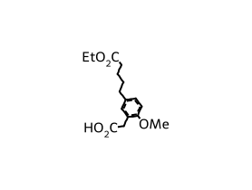 CCOC(=O)CCCCc1ccc(OC)c(CC(=O)O)c1